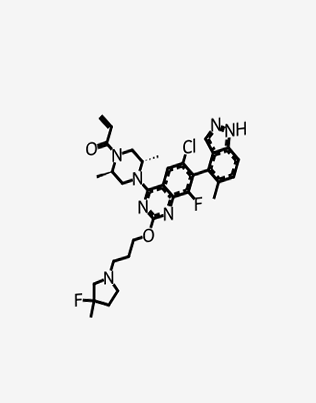 C=CC(=O)N1C[C@H](C)N(c2nc(OCCCN3CCC(C)(F)C3)nc3c(F)c(-c4c(C)ccc5[nH]ncc45)c(Cl)cc23)C[C@H]1C